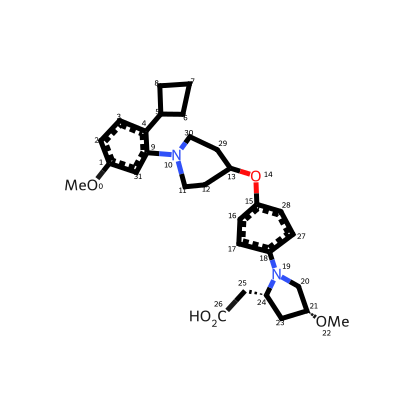 COc1ccc(C2CCC2)c(N2CCC(Oc3ccc(N4C[C@H](OC)C[C@@H]4CC(=O)O)cc3)CC2)c1